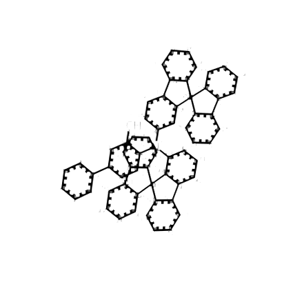 Cc1cc(-c2ccccc2)ccc1N(c1ccc2c(c1)C1(c3ccccc3-c3ccccc31)c1ccccc1-2)c1cccc2c1C1(c3ccccc3-c3ccccc31)c1ccccc1-2